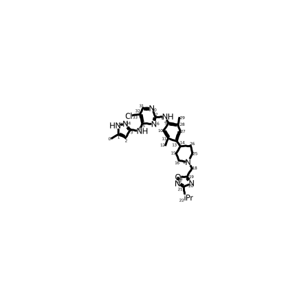 Cc1cc(Nc2nc(Nc3cc(C)c(C4CCN(Cc5nc(C(C)C)no5)CC4)cc3C)ncc2Cl)n[nH]1